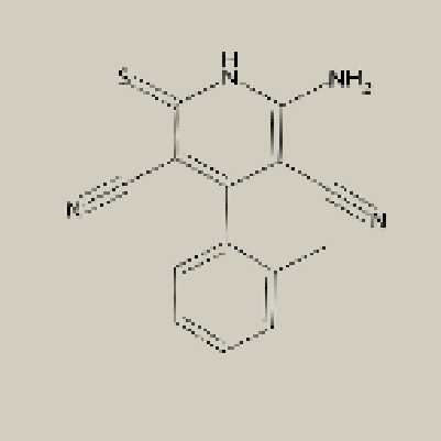 Cc1ccccc1-c1c(C#N)c(N)[nH]c(=S)c1C#N